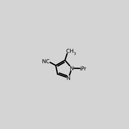 Cc1c(C#N)cnn1C(C)C